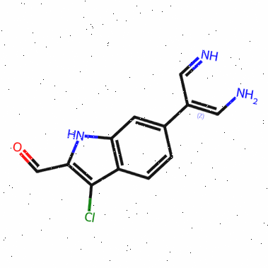 N=C/C(=C\N)c1ccc2c(Cl)c(C=O)[nH]c2c1